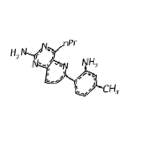 CCCc1nc(N)nc2ccc(-c3ccc(C)cc3N)nc12